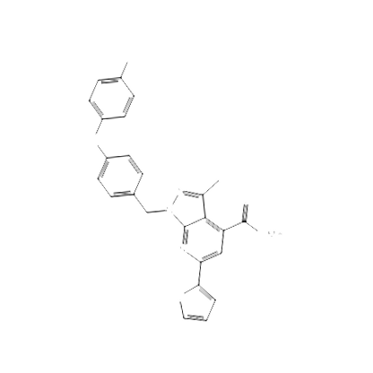 COC(=O)c1cc(-c2ccco2)nc2c1c(C)nn2Cc1ccc(Oc2ccc(F)cc2)cc1